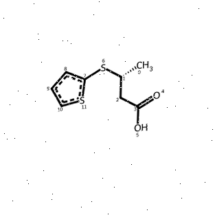 C[C@H](CC(=O)O)Sc1cccs1